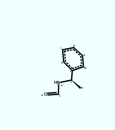 C[C@@H](BC=O)c1ccccc1